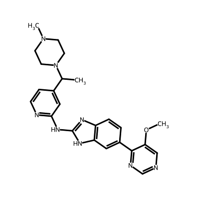 COc1cncnc1-c1ccc2nc(Nc3cc(C(C)N4CCN(C)CC4)ccn3)[nH]c2c1